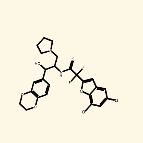 O=C(NC(CN1CCCC1)C(O)c1ccc2c(c1)OCCO2)C(F)(F)c1cc2cc(Cl)cc(Cl)c2o1